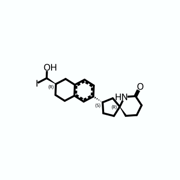 O=C1CCC[C@]2(CC[C@H](c3ccc4c(c3)CC[C@@H](C(O)I)C4)C2)N1